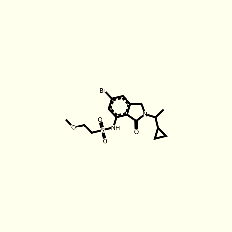 COCCS(=O)(=O)Nc1cc(Br)cc2c1C(=O)N(C(C)C1CC1)C2